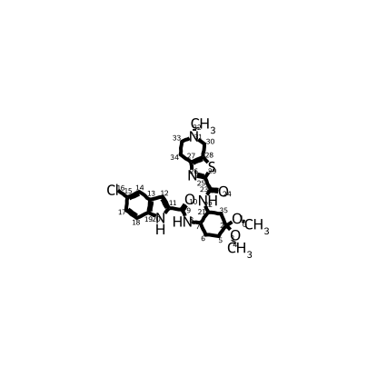 COC1(OC)CCC(NC(=O)c2cc3cc(Cl)ccc3[nH]2)C(NC(=O)c2nc3c(s2)CN(C)CC3)C1